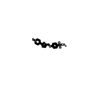 CS(=O)(=O)c1ccc(OCc2csc(C3CCN(F)CC3)n2)cc1